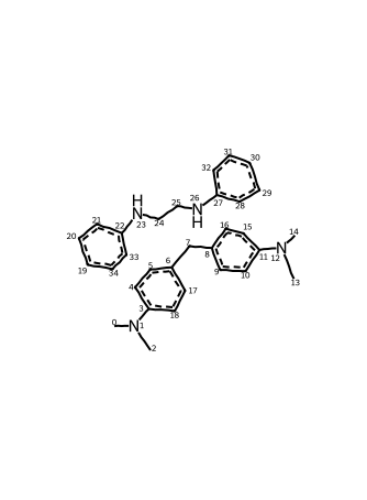 CN(C)c1ccc(Cc2ccc(N(C)C)cc2)cc1.c1ccc(NCCNc2ccccc2)cc1